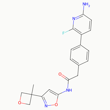 CC1(c2cc(NC(=O)Cc3ccc(-c4ccc(N)nc4F)cc3)on2)COC1